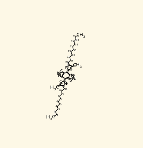 CCCCCCCCCCCCc1nc(-c2c3nnsc3c(-c3nc(CCCCCCCCCCCC)c(C)s3)c3nnsc23)sc1C